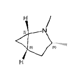 C[C@@H]1C[C@@H]2C[C@@H]2N1C